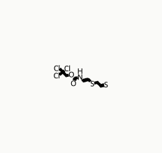 O=C(NC=CSCC=S)OCC(Cl)(Cl)Cl